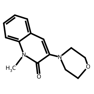 Cn1c(=O)c(N2CCOCC2)cc2ccccc21